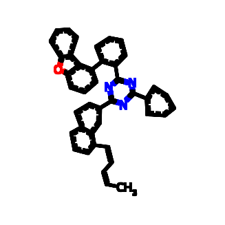 C/C=C\C=C/c1cccc2ccc(-c3nc(-c4ccccc4)nc(-c4ccccc4-c4cccc5oc6ccccc6c45)n3)cc12